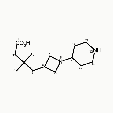 CC(C)(CC(=O)O)CC1CN(C2CCNCC2)C1